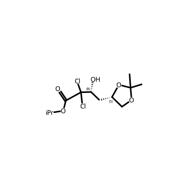 CC(C)OC(=O)C(Cl)(Cl)[C@H](O)C[C@H]1COC(C)(C)O1